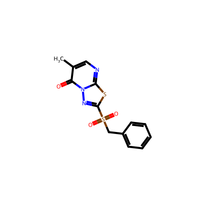 Cc1cnc2sc(S(=O)(=O)Cc3ccccc3)nn2c1=O